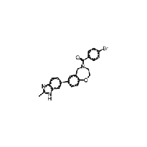 Cc1nc2ccc(-c3ccc4c(c3)CN(C(=O)c3ccc(Br)cc3)CCO4)cc2[nH]1